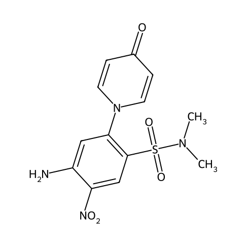 CN(C)S(=O)(=O)c1cc([N+](=O)[O-])c(N)cc1-n1ccc(=O)cc1